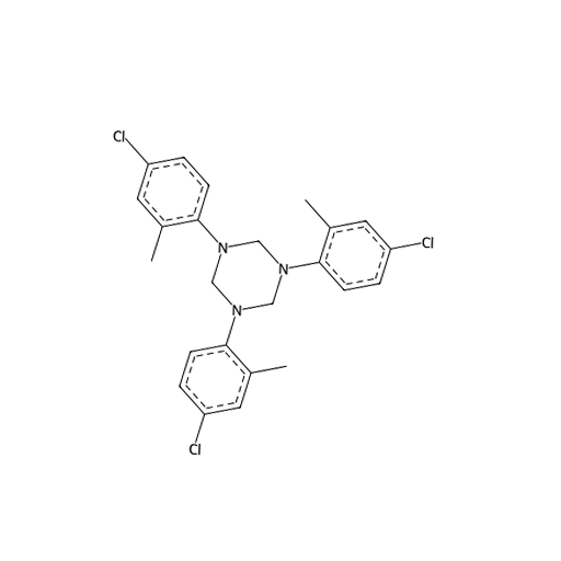 Cc1cc(Cl)ccc1N1CN(c2ccc(Cl)cc2C)CN(c2ccc(Cl)cc2C)C1